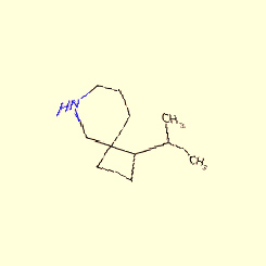 CC(C)C1CCC12CCCNC2